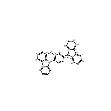 c1ccc2c(c1)B1c3ccc(-n4c5ccccc5c5ccccc54)cc3Oc3cccc-2c31